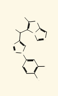 CCc1sc2cncn2c1C(O)c1cn(-c2ccc(N)c(Cl)c2)nn1